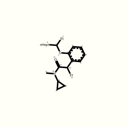 CCCCCCCC(CC)Oc1ccccc1C(CC)C(=O)N(C)C1CC1